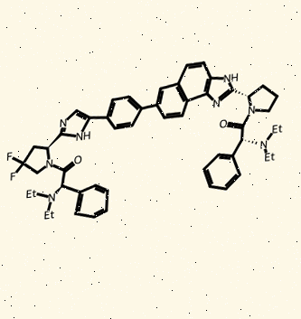 CCN(CC)[C@@H](C(=O)N1CC(F)(F)C[C@H]1c1ncc(-c2ccc(-c3ccc4c(ccc5[nH]c([C@@H]6CCCN6C(=O)[C@@H](c6ccccc6)N(CC)CC)nc54)c3)cc2)[nH]1)c1ccccc1